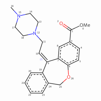 COC(=O)c1ccc2c(c1)/C(=C\CN1CCN(C)CC1)c1ccccc1CO2